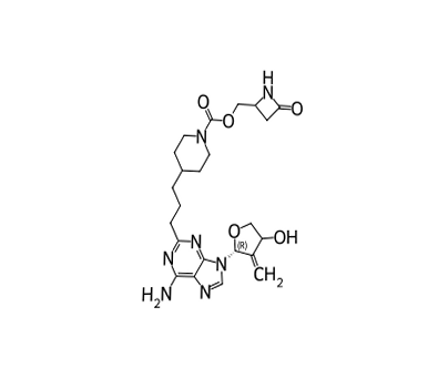 C=C1C(O)CO[C@H]1n1cnc2c(N)nc(CCCC3CCN(C(=O)OCC4CC(=O)N4)CC3)nc21